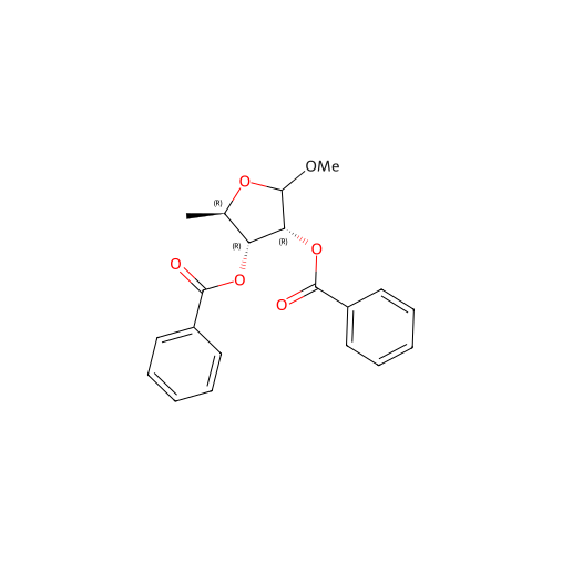 COC1O[C@H](C)[C@@H](OC(=O)c2ccccc2)[C@H]1OC(=O)c1ccccc1